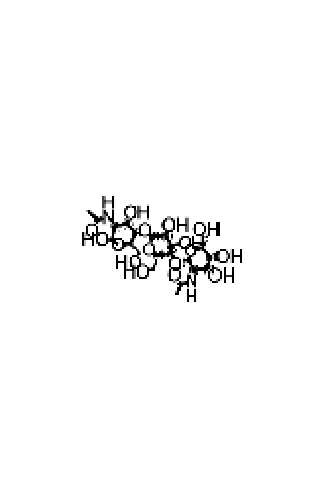 CC(=O)N[C@H]1[C@H](O[C@@H]2[C@H](O)[C@@H](O)[C@H](O[C@H]3[C@H](O)[C@@H](NC(C)=O)C(O)O[C@@H]3CO)O[C@@H]2CO)O[C@H](CO)[C@H](O)[C@@H]1O